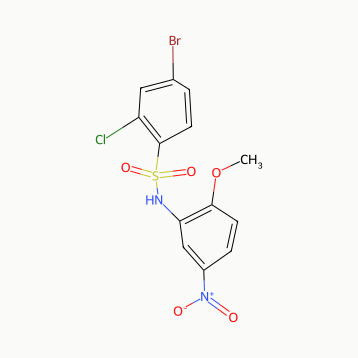 COc1ccc([N+](=O)[O-])cc1NS(=O)(=O)c1ccc(Br)cc1Cl